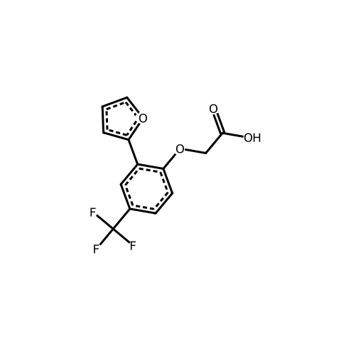 O=C(O)COc1ccc(C(F)(F)F)cc1-c1ccco1